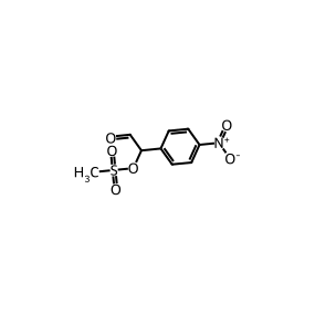 CS(=O)(=O)OC(C=O)c1ccc([N+](=O)[O-])cc1